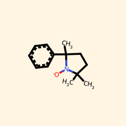 CC1(C)CCC(C)(c2ccccc2)N1[O]